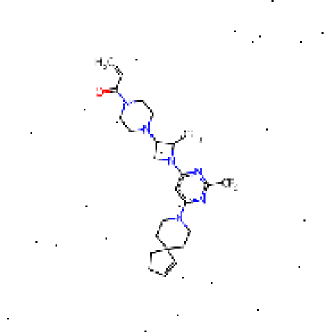 C=CC(=O)N1CCN([C@@H]2CN(c3cc(N4CCC5(C=CCC5)CC4)nc(C(F)(F)F)n3)[C@@H]2C)CC1